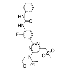 C[C@H]1COCCN1c1cc(CS(C)(=O)=O)nc(-c2ccc(NC(=O)Nc3ccccc3)c(F)c2)n1